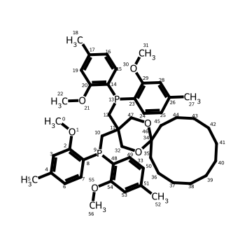 COc1cc(C)ccc1P(CC1(CP(c2ccc(C)cc2OC)c2ccc(C)cc2OC)COC2(CCCCCCCCCCC2)OC1)c1ccc(C)cc1OC